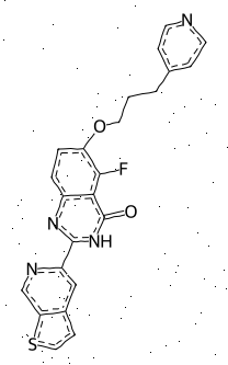 O=c1[nH]c(-c2cc3ccsc3cn2)nc2ccc(OCCCc3ccncc3)c(F)c12